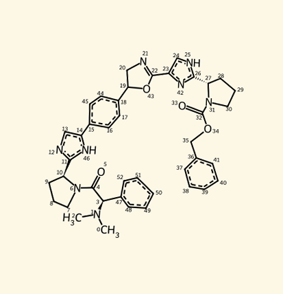 CN(C)[C@@H](C(=O)N1CCC[C@H]1c1ncc(-c2ccc(C3CN=C(c4c[nH]c([C@@H]5CCCN5C(=O)OCc5ccccc5)n4)O3)cc2)[nH]1)c1ccccc1